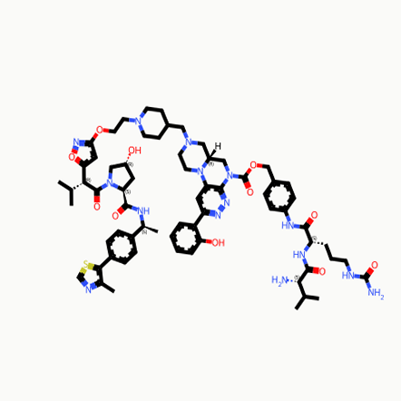 Cc1ncsc1-c1ccc([C@H](C)NC(=O)[C@@H]2C[C@@H](O)CN2C(=O)[C@@H](c2cc(OCCN3CCC(CN4CCN5c6cc(-c7ccccc7O)nnc6N(C(=O)OCc6ccc(NC(=O)[C@H](CCCNC(N)=O)NC(=O)[C@@H](N)C(C)C)cc6)C[C@H]5C4)CC3)no2)C(C)C)cc1